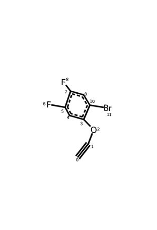 C#COc1cc(F)c(F)cc1Br